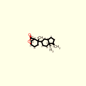 C=C1CCC2CC(C3(C)CCC4CC3C(=O)O4)CCC12C